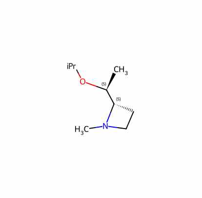 CC(C)O[C@@H](C)[C@@H]1CCN1C